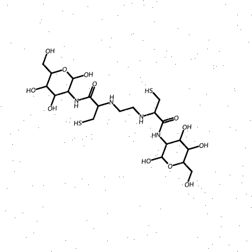 O=C(NC1C(O)OC(CO)C(O)C1O)C(CS)NCCNC(CS)C(=O)NC1C(O)OC(CO)C(O)C1O